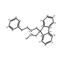 COCC1(CSCCc2ccccc2)c2ccccc2-c2ccccc21